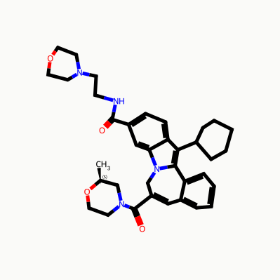 C[C@H]1CN(C(=O)C2=Cc3ccccc3-c3c(C4CCCCC4)c4ccc(C(=O)NCCN5CCOCC5)cc4n3C2)CCO1